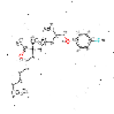 CCOC(=O)CCCCCCC(CCCC(COc1ccc(F)cc1)OC(C)=O)(C(=O)CC)C(=O)OCC